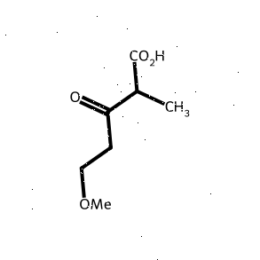 COCCC(=O)C(C)C(=O)O